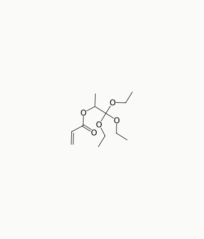 C=CC(=O)OC(C)C(OCC)(OCC)OCC